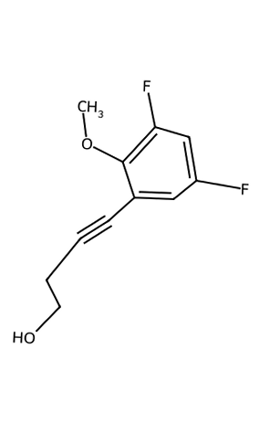 COc1c(F)cc(F)cc1C#CCCO